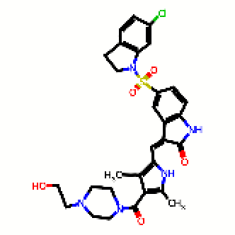 Cc1[nH]c(/C=C2\C(=O)Nc3ccc(S(=O)(=O)N4CCc5ccc(Cl)cc54)cc32)c(C)c1C(=O)N1CCN(CCO)CC1